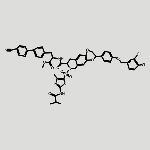 COC(=O)C(Cc1ccc(-c2ccc(C#N)cc2)cc1)NC(=O)C1Cc2cc3c(cc2CN1S(=O)(=O)c1sc(NC(=O)C(C)C)nc1C)OC(c1ccc(OCc2ccc(Cl)c(Cl)c2)cc1)CO3